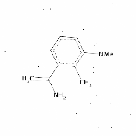 C=C(N)c1cccc(NC)c1C